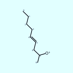 CCCCC=CCC(C)[O]